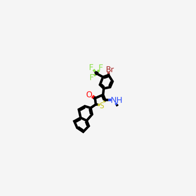 CNC1=C(c2ccc(Br)c(C(F)(F)F)c2)C(=O)C(c2ccc3ccccc3c2)S1